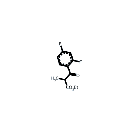 CCOC(=O)C(C)C(=O)c1ccc(F)cc1F